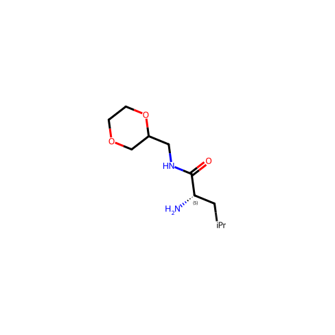 CC(C)C[C@H](N)C(=O)NCC1COCCO1